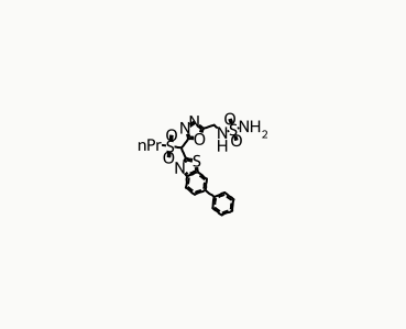 CCCS(=O)(=O)C(c1nnc(CNS(N)(=O)=O)o1)c1nc2ccc(-c3ccccc3)cc2s1